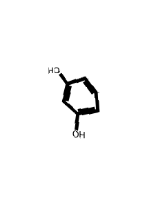 Oc1[c][c]cc(O)c1